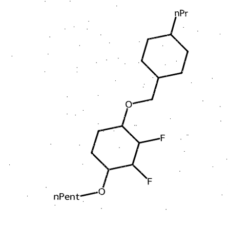 CCCCCOC1CCC(OCC2CCC(CCC)CC2)C(F)C1F